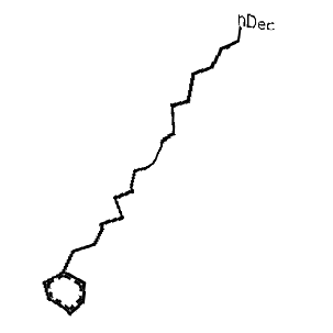 [CH2]CCCCCCCCCCCCCCCCCCCCCCCCCc1ccccc1